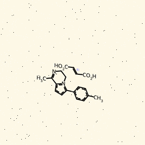 CC1=NCCn2c1ccc2-c1ccc(C)cc1.O=C(O)/C=C/C(=O)O